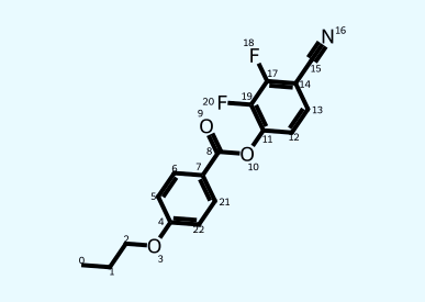 CCCOc1ccc(C(=O)Oc2ccc(C#N)c(F)c2F)cc1